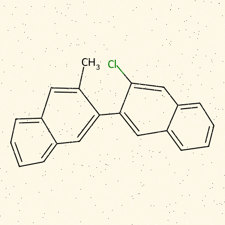 Cc1cc2ccccc2cc1-c1cc2ccccc2cc1Cl